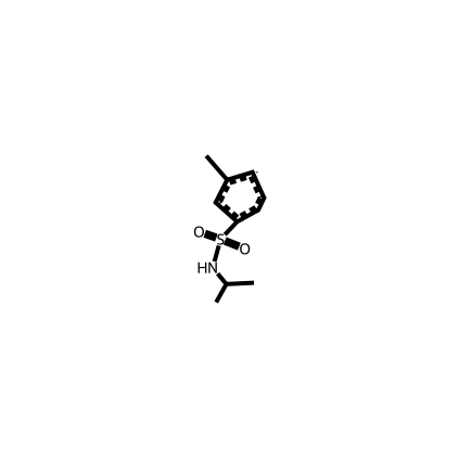 Cc1[c]ccc(S(=O)(=O)NC(C)C)c1